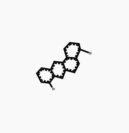 Brc1cccc2cc3c(ccc4c(Br)cccc43)cc12